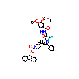 COc1cc(C(=O)NCC(O)(c2cc(C3(C)CCN(C(=O)OCC4c5ccccc5-c5ccccc54)C3)cc(-c3ccc(F)cc3)n2)C(F)(F)F)ccc1OC1CC1